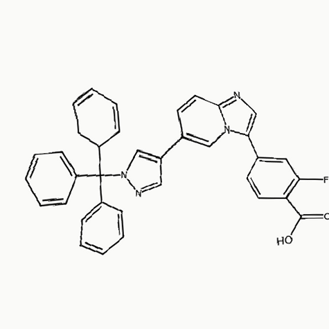 O=C(O)c1ccc(-c2cnc3ccc(-c4cnn(C(c5ccccc5)(c5ccccc5)C5C=CC=CC5)c4)cn23)cc1F